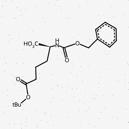 CC(C)(C)OC(=O)CCC[C@H](NC(=O)OCc1ccccc1)C(=O)O